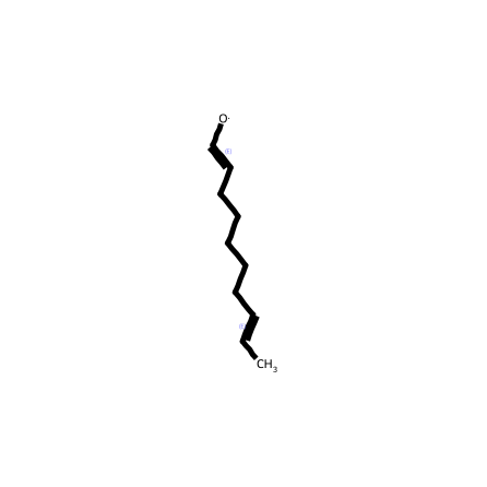 C/C=C/CCCCC/C=C/[O]